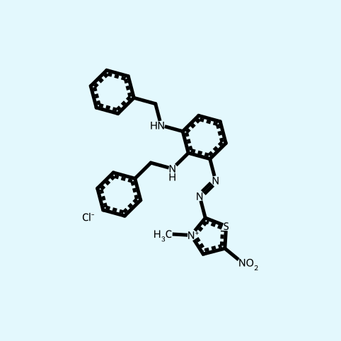 C[n+]1cc([N+](=O)[O-])sc1N=Nc1cccc(NCc2ccccc2)c1NCc1ccccc1.[Cl-]